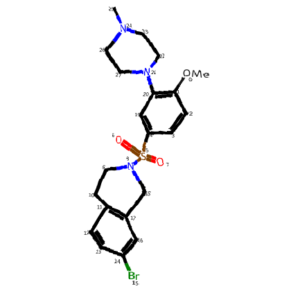 COc1ccc(S(=O)(=O)N2CCc3ccc(Br)cc3C2)cc1N1CCN(C)CC1